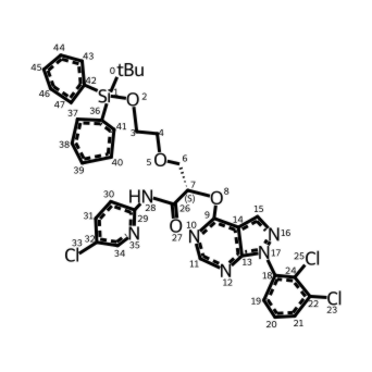 CC(C)(C)[Si](OCCOC[C@H](Oc1ncnc2c1cnn2-c1cccc(Cl)c1Cl)C(=O)Nc1ccc(Cl)cn1)(c1ccccc1)c1ccccc1